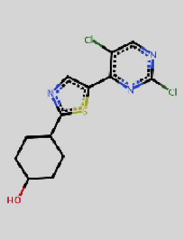 OC1CCC(c2ncc(-c3nc(Cl)ncc3Cl)s2)CC1